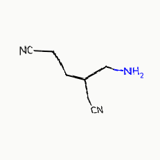 N#CCCC(C#N)CN